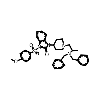 COc1ccc(S(=O)(=O)n2c(=O)n(C3CCN(CC(C)N(Cc4ccccc4)Cc4ccccc4)CC3)c3ccccc32)cc1